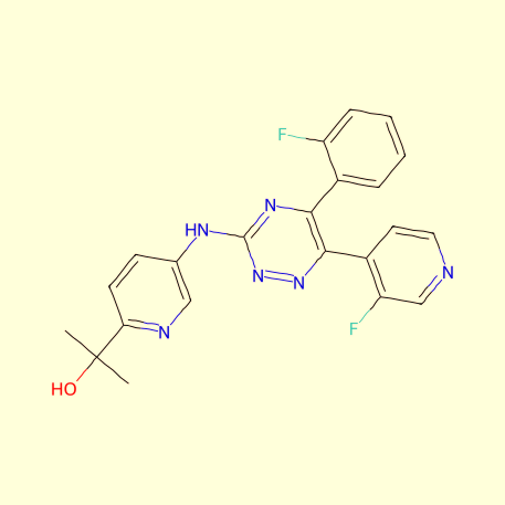 CC(C)(O)c1ccc(Nc2nnc(-c3ccncc3F)c(-c3ccccc3F)n2)cn1